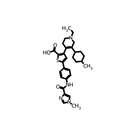 CCN1CCC(c2cc(-c3ccc(NC(=O)c4cn(C)cn4)cc3)sc2C(=O)O)=C(C2CCC(C)CC2)C1